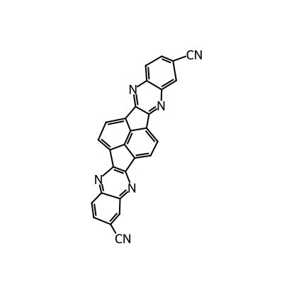 N#Cc1ccc2nc3c(nc2c1)-c1ccc2c4c(ccc-3c14)-c1nc3ccc(C#N)cc3nc1-2